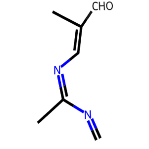 C=N/C(C)=N\C=C(/C)C=O